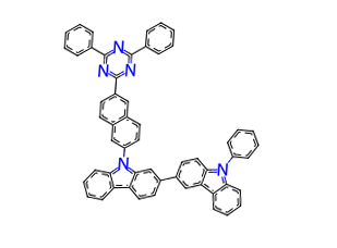 c1ccc(-c2nc(-c3ccccc3)nc(-c3ccc4cc(-n5c6ccccc6c6ccc(-c7ccc8c(c7)c7ccccc7n8-c7ccccc7)cc65)ccc4c3)n2)cc1